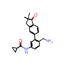 CC1(C)Cc2cc(-c3cc(NC(=O)C4CC4)ccc3CN)ccc2C1=O